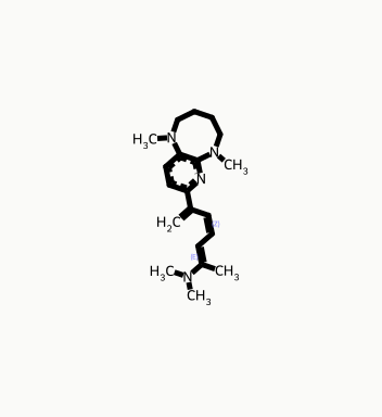 C=C(/C=C\C=C(/C)N(C)C)c1ccc2c(n1)N(C)CCCCN2C